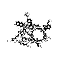 CCCc1cccc2c(C[C@@H]3NC(=O)[C@H]([C@@H](C)O)NC(=O)[C@H](CC(N)=O)NC(=O)[C@@H](NC(C)=O)C(C)(C)SSC(C)(C)[C@@H](C(=O)N[C@@H](Cc4ccc(OCCN)cc4)C(=O)N[C@@H](Cc4ccc5ccccc5c4)C(=O)N[C@@](C)(CCCCN)C(=O)N[C@@H](CCCCNC(C)=O)C(=O)N[C@H](CN[C@@H](CCN)CC(C)C)CC(N)=O)NC(=O)[C@H](CCCCNC(C)=O)NC3=O)c[nH]c12